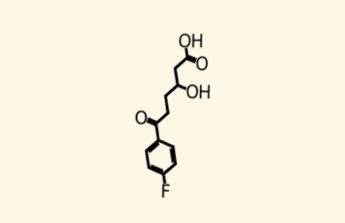 O=C(O)CC(O)CCC(=O)c1ccc(F)cc1